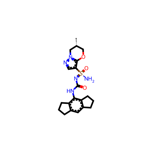 C[C@@H]1COc2c([S@@](N)(=O)=NC(=O)Nc3c4c(cc5c3CCC5)CCC4)cnn2C1